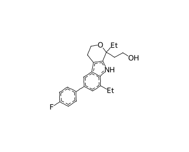 CCc1cc(-c2ccc(F)cc2)cc2c3c([nH]c12)C(CC)(CCO)OCC3